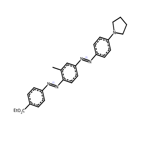 CCOC(=O)c1ccc(/N=N/c2ccc(/N=N/c3ccc(N4CCCC4)cc3)cc2C)cc1